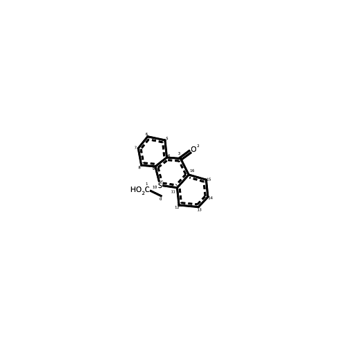 CC(=O)O.O=c1c2ccccc2sc2ccccc12